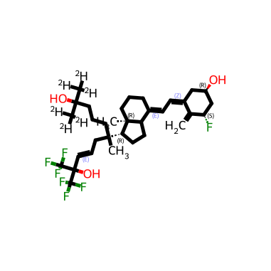 [2H]C([2H])([2H])C(O)(CCCC(C)(C/C=C/C(O)(C(F)(F)F)C(F)(F)F)[C@H]1CCC2/C(=C/C=C3/C[C@@H](O)C[C@H](F)C3=C)CCC[C@@]21C)C([2H])([2H])[2H]